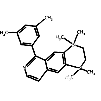 Cc1cc(C)cc(-c2nccc3cc4c(cc23)[Si](C)(C)CC[Si]4(C)C)c1